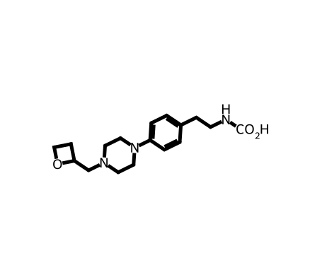 O=C(O)NCCc1ccc(N2CCN(CC3CCO3)CC2)cc1